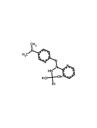 CCC(O)(O)NN([N]c1ccc(N(C)C)cn1)c1ccccn1